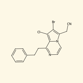 N#CCc1c(Br)c(Cl)c2c(CCc3ccccc3)nccn12